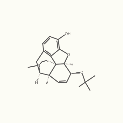 CN1CC[C@]23c4c5ccc(O)c4O[C@H]2[C@@H](OC(C)(C)C)C=C[C@@]3(C)[C@H]1C5